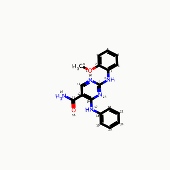 COc1ccccc1Nc1ncc(C(N)=O)c(Nc2ccccc2)n1